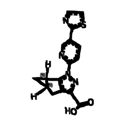 O=C(O)c1nn(-c2ccc(-c3nccs3)cn2)c2c1C[C@@H]1C[C@H]21